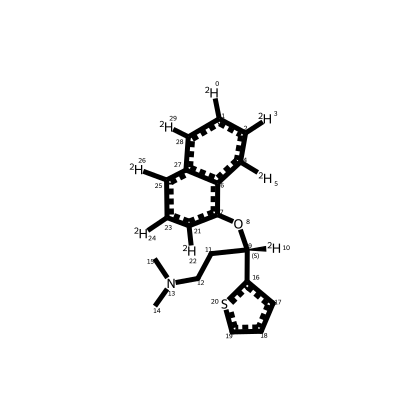 [2H]c1c([2H])c([2H])c2c(O[C@@]([2H])(CCN(C)C)c3cccs3)c([2H])c([2H])c([2H])c2c1[2H]